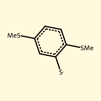 CSc1ccc(SC)c([S])c1